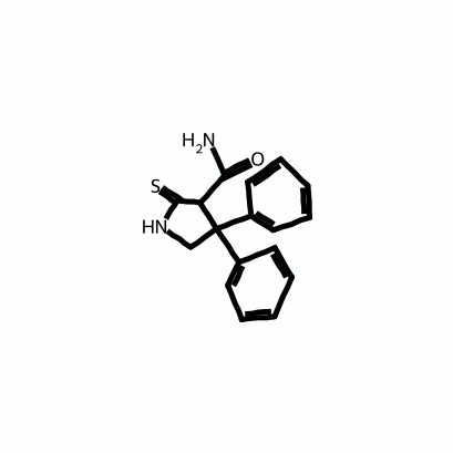 NC(=O)C1C(=S)NCC1(c1ccccc1)c1ccccc1